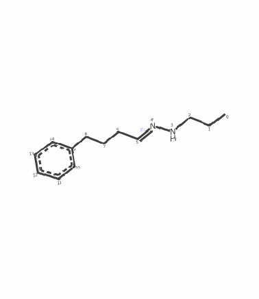 CCCN/N=C/CCCc1ccccc1